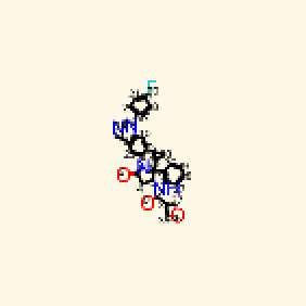 O=C(NC1CC(=O)N(c2ccc3c(cnn3-c3ccc(F)cc3)c2)C1(c1ccccc1)C1CC1)C1COC1